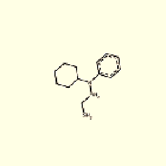 [SiH3]C[SiH2]N(c1ccccc1)C1CCCCC1